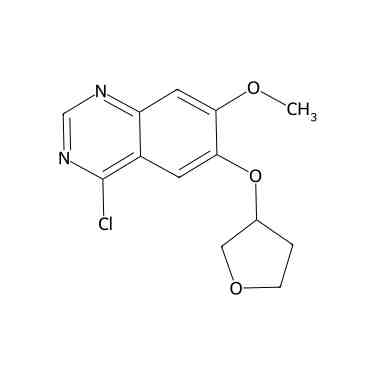 COc1cc2ncnc(Cl)c2cc1OC1CCOC1